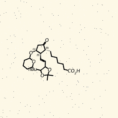 CCCCC1OC(C)(C)OC1C=C[C@H]1[C@@H](OC2CCCCO2)CC(=O)[C@@H]1CCCCCCC(=O)O